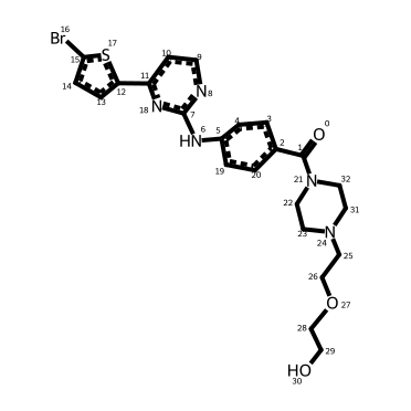 O=C(c1ccc(Nc2nccc(-c3ccc(Br)s3)n2)cc1)N1CCN(CCOCCO)CC1